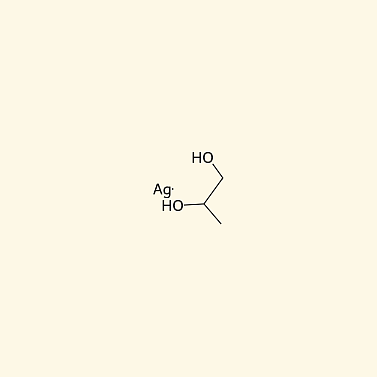 CC(O)CO.[Ag]